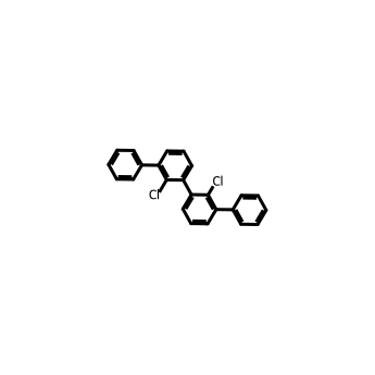 Clc1c(-c2ccccc2)cccc1-c1cccc(-c2ccccc2)c1Cl